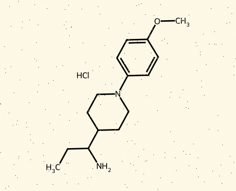 CCC(N)C1CCN(c2ccc(OC)cc2)CC1.Cl